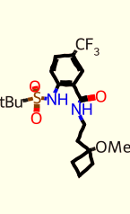 COC1(CCNC(=O)c2cc(C(F)(F)F)ccc2NS(=O)(=O)C(C)(C)C)CCC1